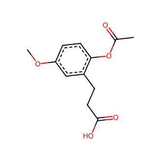 COc1ccc(OC(C)=O)c(CCC(=O)O)c1